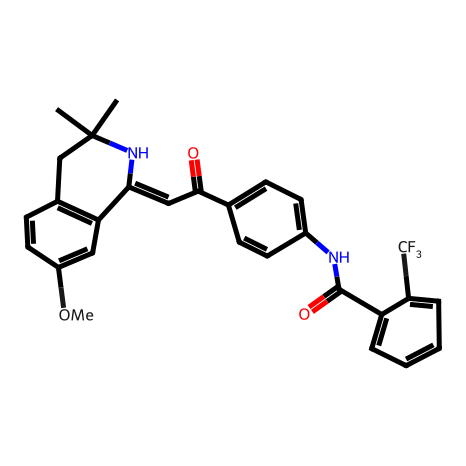 COc1ccc2c(c1)/C(=C/C(=O)c1ccc(NC(=O)c3ccccc3C(F)(F)F)cc1)NC(C)(C)C2